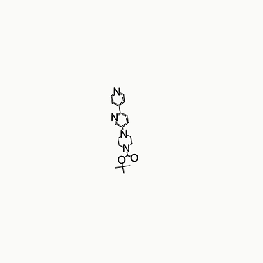 CC(C)(C)OC(=O)N1CCN(c2ccc(-c3ccncc3)nc2)CC1